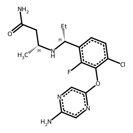 CC[C@@H](N[C@H](C)CC(N)=O)c1ccc(Cl)c(Oc2cnc(N)cn2)c1F